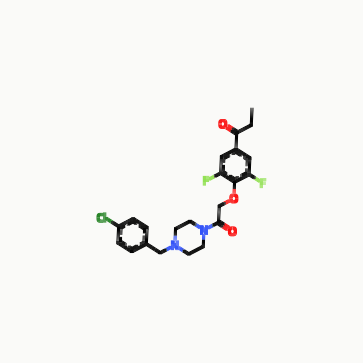 CCC(=O)c1cc(F)c(OCC(=O)N2CCN(Cc3ccc(Cl)cc3)CC2)c(F)c1